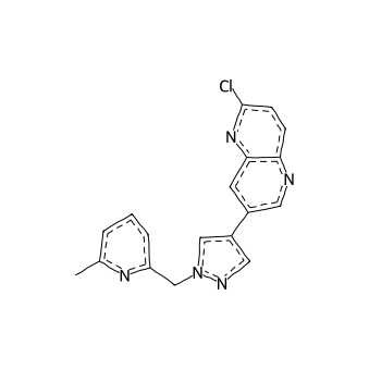 Cc1cccc(Cn2cc(-c3cnc4ccc(Cl)nc4c3)cn2)n1